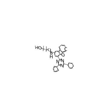 CC(C)(O)C(C)(C)OBc1cc(-c2nc(-c3ccccc3)nc(-c3ccccc3)n2)c2oc3c(c2c1)=CC=CCC=3